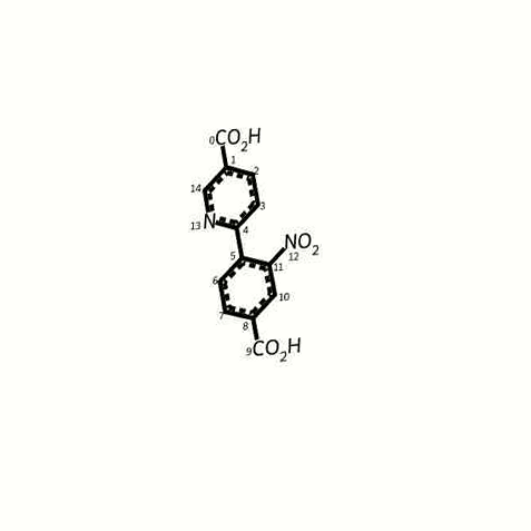 O=C(O)c1ccc(-c2ccc(C(=O)O)cc2[N+](=O)[O-])nc1